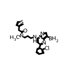 Bc1cnn2c(NCCCN(C)C(=O)Cc3ccsc3)cc(-c3ccccc3Cl)nc12